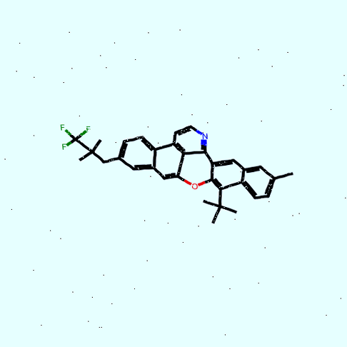 Cc1ccc2c(C(C)(C)C)c3c(cc2c1)-c1nccc2c1c(cc1cc(CC(C)(C)C(F)(F)F)ccc12)O3